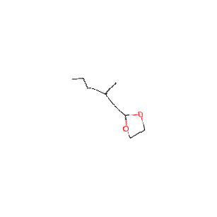 CCCC(C)C1OCCO1